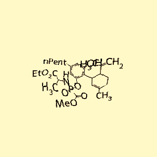 C=C(C)C1CCC(C)=CC1c1c(O)cc(CCCCC)cc1OP(=O)(NC(C)C(=O)OCC)C(=O)OC